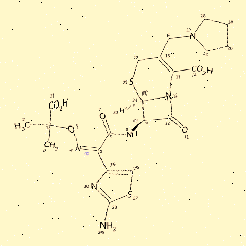 CC(C)(O/N=C(\C(=O)N[C@@H]1C(=O)N2C(C(=O)O)=C(CN3CCCC3)CS[C@H]12)c1csc(N)n1)C(=O)O